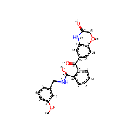 COc1cccc(CNC(=O)c2ccccc2C(=O)c2ccc3c(c2)NC(=O)CO3)c1